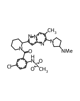 CNC1CCN(c2nc3cc(C4CCCCN4C(=O)c4cc(Cl)ccc4NS(C)(=O)=O)nn3cc2C)C1